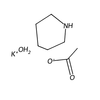 C1CCNCC1.CC(=O)[O-].O.[K+]